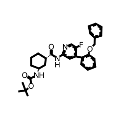 CC(C)(C)OC(=O)N[C@@H]1CCC[C@H](C(=O)Nc2cc(-c3ccccc3OCc3ccccc3)c(F)cn2)C1